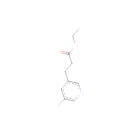 CCOC(=O)CCc1cncc(Cl)c1